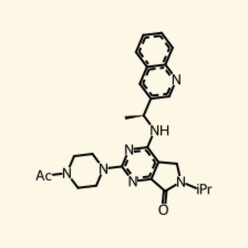 CC(=O)N1CCN(c2nc(N[C@@H](C)c3cnc4ccccc4c3)c3c(n2)C(=O)N(C(C)C)C3)CC1